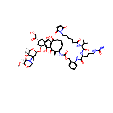 C=C1C(=O)c2c(O)c3c(c(O)c2C(=O)C/C=C\C=C/1NC(=O)OCc1ccccc1NC(=O)[C@H](CCCNC(N)=O)NC(=O)[C@@H](NC(=O)CCCCCN1C(=O)C=CC1=O)C(C)C)C[C@@H](C(=O)CO)C[C@@H]3OC1C[C@H]2[C@H](O[C@@H]3[C@@H](OC)OCCN32)[C@H](C)O1